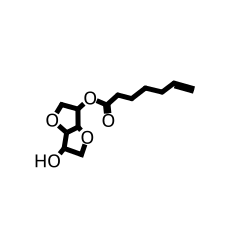 C=CCCCCC(=O)OC1COC2C(O)COC12